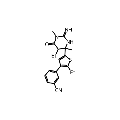 CCc1sc(C2(C)NC(=N)N(C)C(=O)C2CC)cc1-c1cccc(C#N)c1